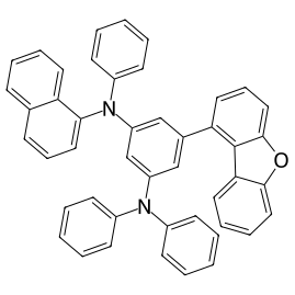 c1ccc(N(c2ccccc2)c2cc(-c3cccc4oc5ccccc5c34)cc(N(c3ccccc3)c3cccc4ccccc34)c2)cc1